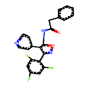 O=C(Cc1ccccc1)Nc1onc(-c2c(F)cc(F)cc2F)c1-c1ccncc1